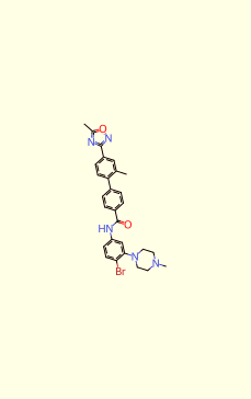 Cc1nc(-c2ccc(-c3ccc(C(=O)Nc4ccc(Br)c(N5CCN(C)CC5)c4)cc3)c(C)c2)no1